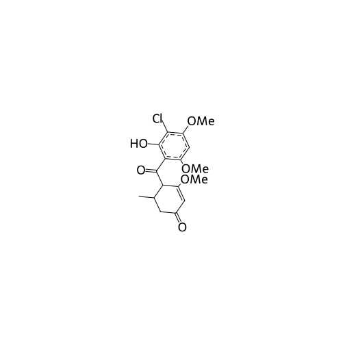 COC1=CC(=O)CC(C)C1C(=O)c1c(OC)cc(OC)c(Cl)c1O